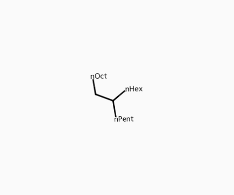 [CH2]CCCCC(CCCCCC)CCCCCCCCC